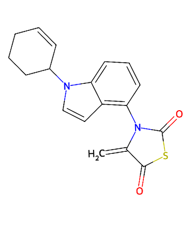 C=C1C(=O)SC(=O)N1c1cccc2c1ccn2C1C=CCCC1